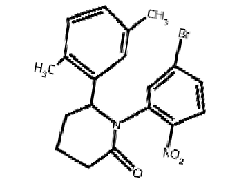 Cc1ccc(C)c(C2CCCC(=O)N2c2cc(Br)ccc2[N+](=O)[O-])c1